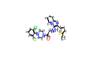 CCc1ccc(-c2nc3ccccn3c2NCC(=O)N2CCN(c3c(Cl)cccc3Cl)CC2)s1